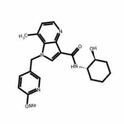 COc1ccc(Cn2cc(C(=O)N[C@H]3CCCC[C@@H]3O)c3nccc(C)c32)cn1